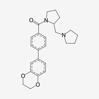 O=C(c1ccc(-c2ccc3c(c2)OCCO3)cc1)N1CCCC1CN1CCCC1